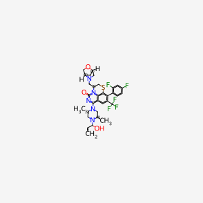 C=CC(O)N1C[C@H](C)N(c2nc(=O)n3c4c(c(-c5ccc(F)cc5F)c(C(F)(F)F)cc24)SC[C@@H]3CN2C[C@@H]3C[C@H]2CO3)C[C@H]1C